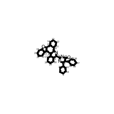 c1ccc(-c2nc(-c3nc4c5ccccc5c5oc6ccccc6c5c4c4ccccc34)nc3oc4ccccc4c23)cc1